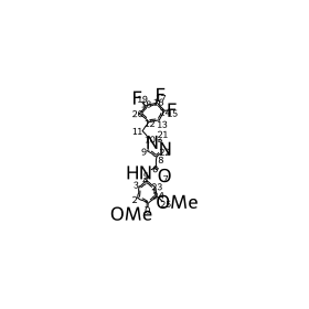 COc1ccc(NC(=O)c2cn(Cc3cc(F)c(F)c(F)c3)cn2)cc1OC